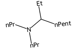 CCCCCC(CC)N(CCC)CCC